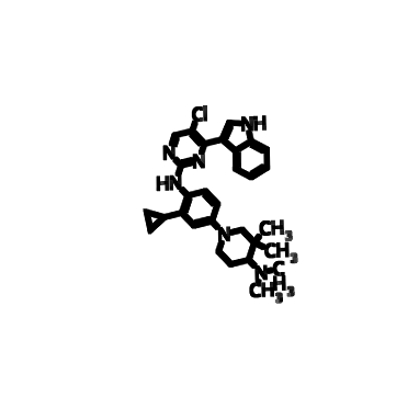 CN(C)C1CCN(c2ccc(Nc3ncc(Cl)c(-c4c[nH]c5ccccc45)n3)c(C3CC3)c2)CC1(C)C